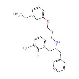 O=C(O)Cc1cccc(OCCCNC(Cc2ccccc2)Cc2cccc(C(F)(F)F)c2Cl)c1